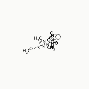 COCCSc1cc(C)nc(N(C)C(=O)NS(=O)(=O)c2ccccc2[N+](=O)[O-])n1